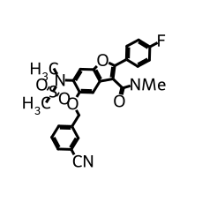 CNC(=O)c1c(-c2ccc(F)cc2)oc2cc(N(C)S(C)(=O)=O)c(OCc3cccc(C#N)c3)cc12